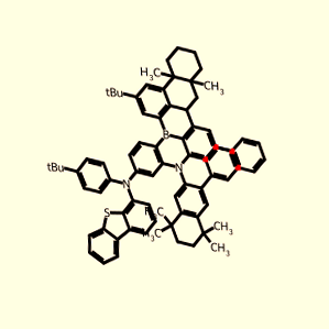 CC(C)(C)c1ccc(N(c2ccc3c(c2)N(c2cc4c(cc2-c2ccccc2)C(C)(C)CCC4(C)C)c2cc(-c4ccccc4)cc4c2B3c2cc(C(C)(C)C)cc3c2C4CC2(C)CCCCC32C)c2cccc3c2sc2ccccc23)cc1